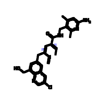 C=N/C(=C\C(=C/C)C(=O)NCc1c(C)cc(N)nc1C)Cc1cc(CO)c2ncc(Cl)cc2c1